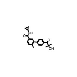 Cc1ccc(C(=O)NC2CC2)cc1-c1ccc(C(=O)C(C)(C)O)cc1